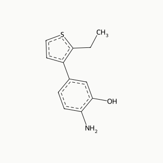 CCc1sccc1-c1ccc(N)c(O)c1